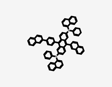 C1=CC(N(c2ccc3c(-c4ccc(-c5ccc6ccccc6c5)cc4)c4cc(N(c5ccccc5)c5cccc6ccccc56)ccc4c(-c4ccc5ccccc5c4)c3c2)c2cccc3ccccc23)=CCC1